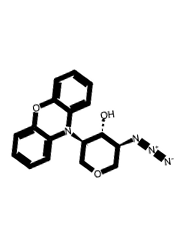 [N-]=[N+]=N[C@H]1COC[C@@H](N2c3ccccc3Oc3ccccc32)[C@@H]1O